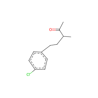 CC(=O)C(C)CCc1ccc(Cl)cc1